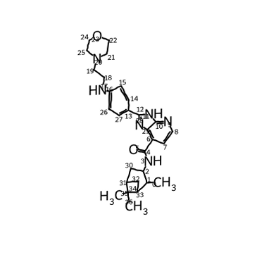 CC1C(NC(=O)c2ccnc3[nH]c(-c4ccc(NCCN5CCOCC5)cc4)nc23)CC2CC1C2(C)C